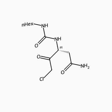 CCCCCCNC(=O)N[C@H](CC(N)=O)C(=O)CCl